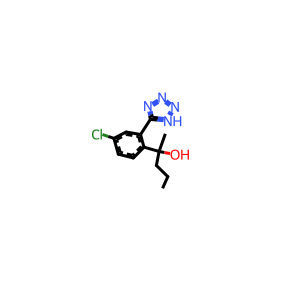 CCCC(C)(O)c1ccc(Cl)cc1-c1nnn[nH]1